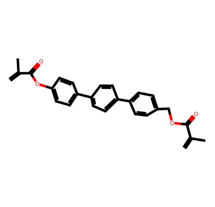 C=C(C)C(=O)OCc1ccc(-c2ccc(-c3ccc(OC(=O)C(=C)C)cc3)cc2)cc1